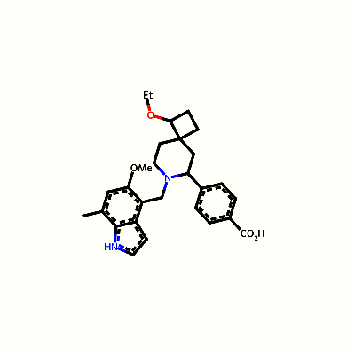 CCOC1CCC12CCN(Cc1c(OC)cc(C)c3[nH]ccc13)C(c1ccc(C(=O)O)cc1)C2